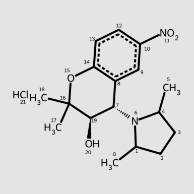 CC1CCC(C)N1[C@H]1c2cc([N+](=O)[O-])ccc2OC(C)(C)[C@@H]1O.Cl